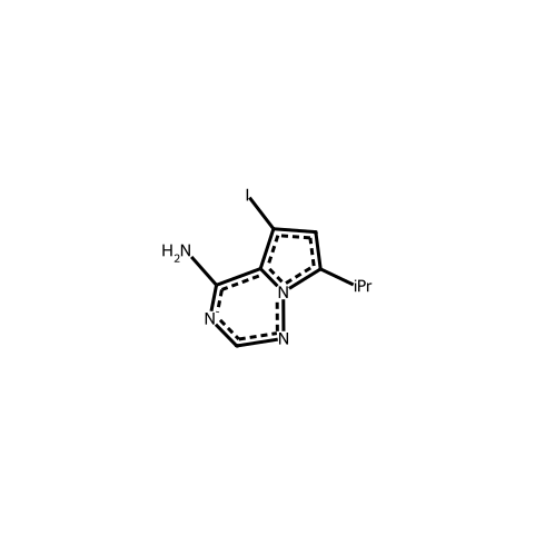 CC(C)c1cc(I)c2c(N)ncnn12